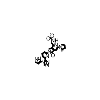 COC(=O)NCc1nc(N2CCC[C@H]2C)cc2c1CN(c1cccc(-c3nncn3-c3ccnn3C)n1)C2=O